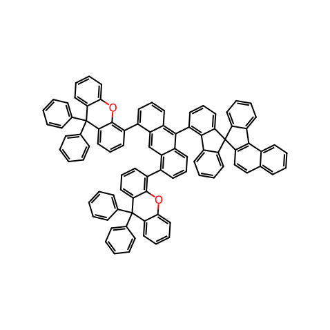 c1ccc(C2(c3ccccc3)c3ccccc3Oc3c(-c4cccc5c(-c6cccc7c6-c6ccccc6C76c7ccccc7-c7c6ccc6ccccc76)c6cccc(-c7cccc8c7Oc7ccccc7C8(c7ccccc7)c7ccccc7)c6cc45)cccc32)cc1